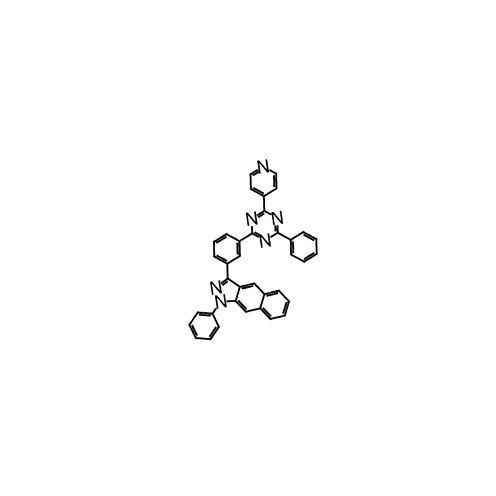 c1ccc(-c2nc(-c3ccncc3)nc(-c3cccc(-c4nn(-c5ccccc5)c5cc6ccccc6cc45)c3)n2)cc1